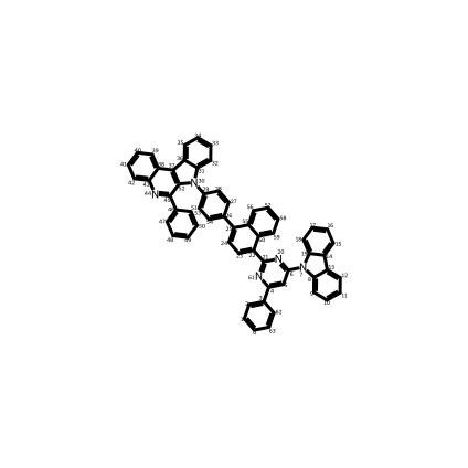 c1ccc(-c2cc(-n3c4ccccc4c4ccccc43)nc(-c3ccc(-c4ccc(-n5c6ccccc6c6c7ccccc7nc(-c7ccccc7)c65)cc4)c4ccccc34)n2)cc1